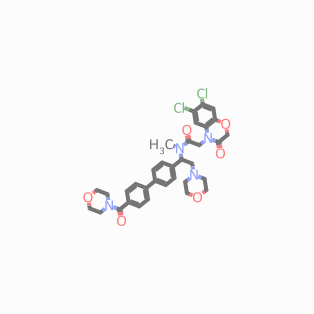 CN(C(=O)CN1C(=O)COc2cc(Cl)c(Cl)cc21)C(CN1CCOCC1)c1ccc(-c2ccc(C(=O)N3CCOCC3)cc2)cc1